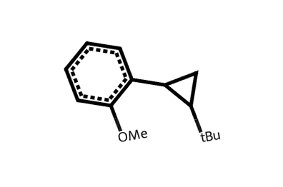 COc1ccccc1C1CC1C(C)(C)C